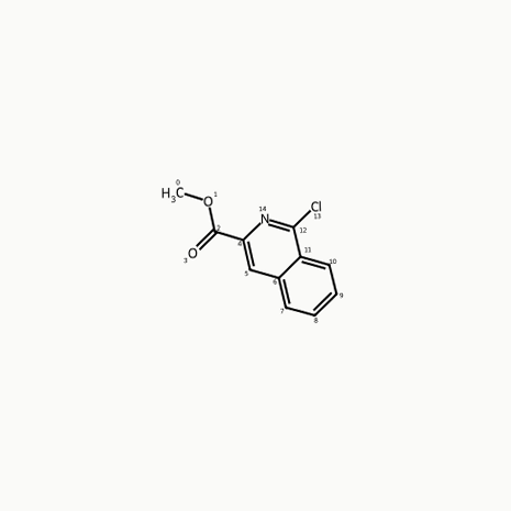 COC(=O)c1cc2ccccc2c(Cl)n1